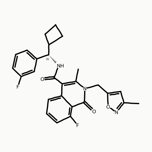 Cc1cc(Cn2c(C)c(C(=O)N[C@H](c3cccc(F)c3)C3CCC3)c3cccc(F)c3c2=O)on1